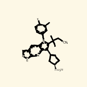 Cc1cc(-n2c(C(C)(C)CC#N)c(C3CC[C@@H](C(=O)O)C3)c3nc4[nH]ncc4cc32)ccc1F